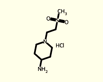 CS(=O)(=O)CCN1CCC(N)CC1.Cl